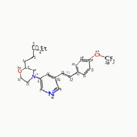 CCOC(=O)CCC1CN(c2cncc(/C=C/c3ccc(OC(F)(F)F)cc3)c2)CCO1